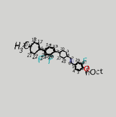 CCCCCCCCOc1ccc(/C=C/C2CCC(c3ccc(C4CCC(C)CC4)c(F)c3F)CC2)cc1F